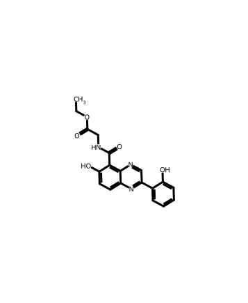 CCOC(=O)CNC(=O)c1c(O)ccc2nc(-c3ccccc3O)cnc12